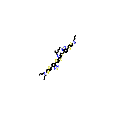 CCCCC(CC)Cn1c2cc(-c3ccc(-c4cc5sc(N(C)CCCC)cc5s4)c4nsnc34)sc2c2sc3cc(-c4ccc(-c5cc6sc(N(CCCC)CCCC)cc6s5)c5nsnc45)sc3c21